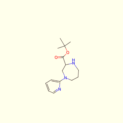 CC(C)(C)OC(=O)C1CN(c2ccccn2)CCCN1